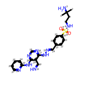 CC(C)(N)CCNS(=O)(=O)c1ccc(/C=N/Nc2ncnc(Nc3ccccn3)c2C=N)cc1